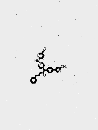 Cn1cc(-c2ccc(C(C(=O)CCCc3ccccc3)C3CCN(Nc4ccc(C#N)cn4)CC3)cc2)cn1